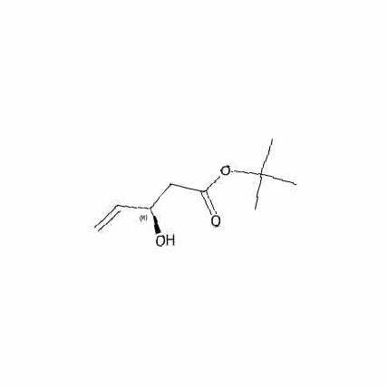 C=C[C@H](O)CC(=O)OC(C)(C)C